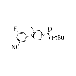 C[C@H]1CN(C(=O)OC(C)(C)C)CCN1c1cc(F)cc(C#N)c1